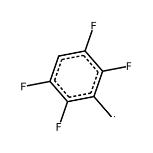 [CH2]c1c(F)c(F)cc(F)c1F